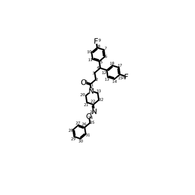 O=C(CCC(c1ccc(F)cc1)c1ccc(F)cc1)N1CCC(=NOCc2ccccc2)CC1